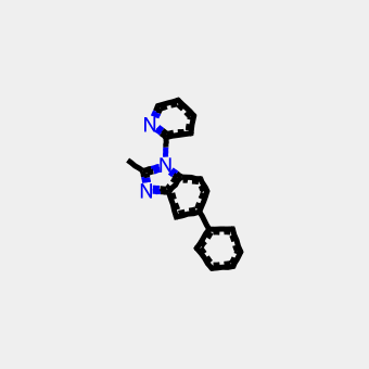 Cc1nc2cc(-c3ccccc3)ccc2n1-c1ccccn1